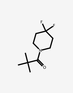 CC(C)(C)C(=O)N1CCC(F)(F)CC1